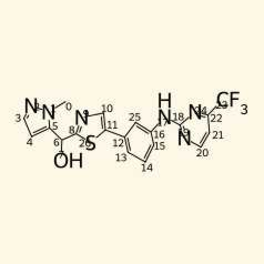 Cn1nccc1C(O)c1ncc(-c2cccc(Nc3nccc(C(F)(F)F)n3)c2)s1